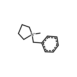 C[N+]1(Cc2ccccc2)CCCC1